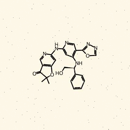 CC1(C)Oc2cc(Nc3cc(N[C@H](CO)c4ccccc4)c(-c4nnco4)cn3)ncc2C1=O